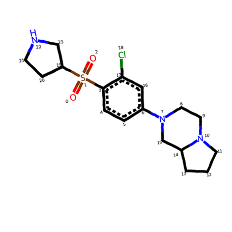 O=S(=O)(c1ccc(N2CCN3CCCC3C2)cc1Cl)C1CCNC1